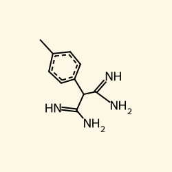 Cc1ccc(C(C(=N)N)C(=N)N)cc1